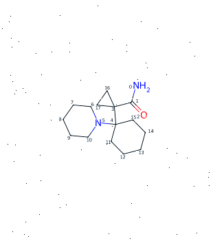 NC(=O)C1(C2(N3CCCCC3)CCCCC2)CC1